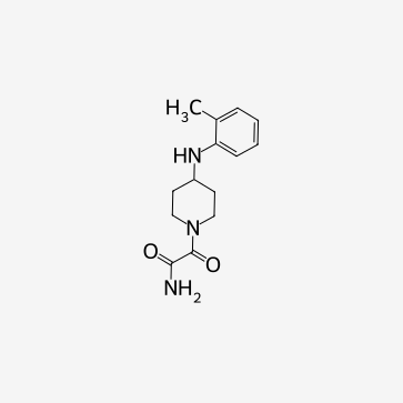 Cc1ccccc1NC1CCN(C(=O)C(N)=O)CC1